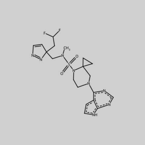 CN(CC1(CC(F)F)C=CN=N1)S(=O)(=O)N1CCN(c2ncnc3[nH]ccc23)CC12CC2